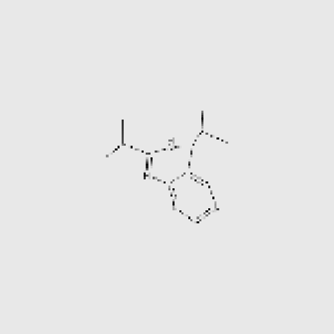 CC(C)C1=Nc2ncncc2C(C(C)C)N1